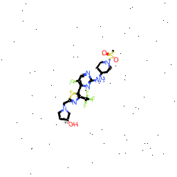 CS(=O)(=O)N1CCC(Nc2ncc(F)c(-c3sc(CN4CC[C@@H](O)C4)nc3C(F)(F)F)n2)CC1